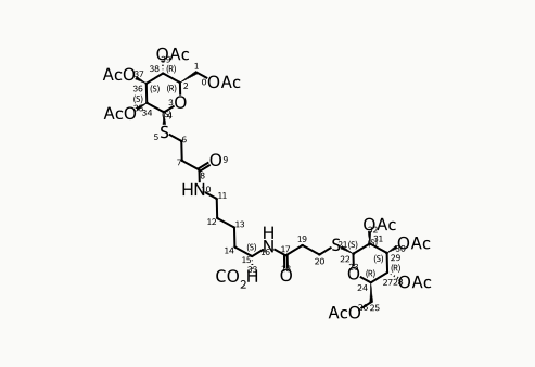 CC(=O)OC[C@H]1O[C@@H](SCCC(=O)NCCCC[C@H](NC(=O)CCS[C@@H]2O[C@H](COC(C)=O)[C@@H](OC(C)=O)[C@H](OC(C)=O)[C@@H]2OC(C)=O)C(=O)O)[C@@H](OC(C)=O)[C@@H](OC(C)=O)[C@@H]1OC(C)=O